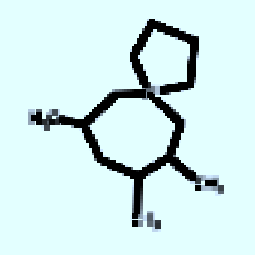 CC1CC(C)C(C)C[N+]2(CCCC2)C1